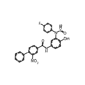 O=C(Nc1ccc(O)c(N(c2ccc(F)cc2)[SH](=O)=O)c1)c1ccc(-c2ccccc2)c([N+](=O)[O-])c1